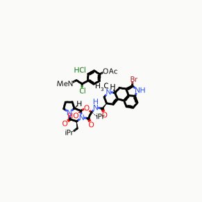 CC(C)C[C@H]1C(=O)N2CCC[C@H]2[C@]2(O)O[C@](NC(=O)[C@@H]3C=C4c5cccc6[nH]c(Br)c(c56)C[C@H]4N(C)C3)(C(C)C)C(=O)N12.CNCC(Cl)c1ccc(OC(C)=O)cc1.Cl